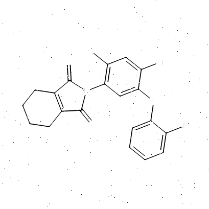 O=C1C2=C(CCCC2)C(=O)N1c1cc(Oc2ccccc2F)c(Cl)cc1Cl